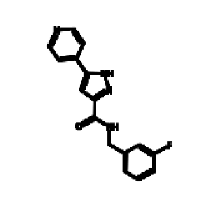 O=C(NCc1cccc(F)c1)c1cc(-c2ccncc2)[nH]n1